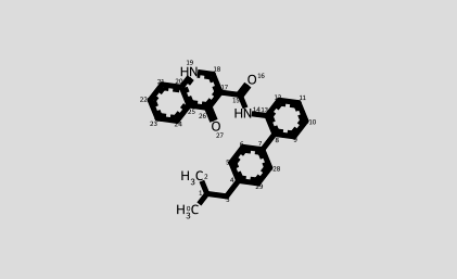 CC(C)Cc1ccc(-c2ccccc2NC(=O)c2c[nH]c3ccccc3c2=O)cc1